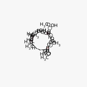 CO[C@H]1[C@@H](O)[C@H](C)C[C@H](C)/C=C/C=C/C=C(\C)[C@@H](c2c[nH]c3c(C)cccc23)C[C@@H]2CC[C@@H](C)[C@@](O)(O2)C(=O)C(=O)N2CCCC3[C@H]2C(=O)O[C@@H](C[C@H](O)[C@H](C)/C=C(\C)[C@H]1O)[C@H]3C[C@@H]1CC[C@@H](O)[C@H](OC)C1